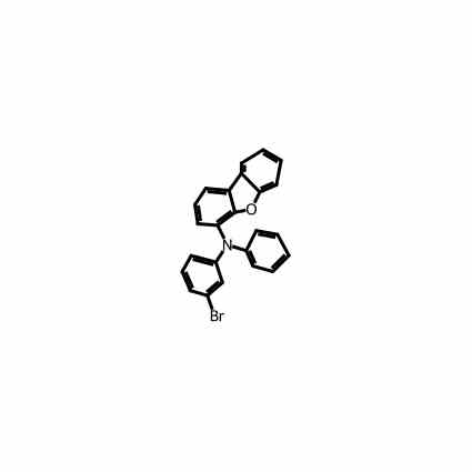 Brc1cccc(N(c2ccccc2)c2cccc3c2oc2ccccc23)c1